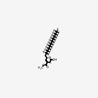 COC(=O)C(=CCCC(F)(F)C(F)(F)C(F)(F)C(F)(F)C(F)(F)C(F)(F)C(F)(F)C(F)(F)C(F)(F)C(F)(F)F)CC(=O)O